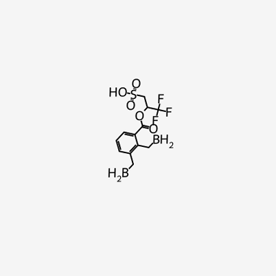 BCc1cccc(C(=O)OC(CS(=O)(=O)O)C(F)(F)F)c1CB